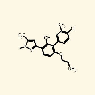 Cn1nc(-c2ccc(OCCN)c(-c3ccc(Cl)c(C(F)(F)F)c3)c2O)cc1C(F)(F)F